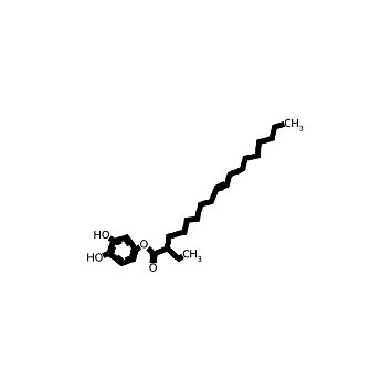 CCCCCCCCC=CCCCCCCC(CC)C(=O)Oc1ccc(O)c(O)c1